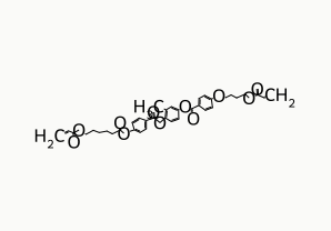 C=CC(=O)OCCCCCC(=O)Oc1ccc(C(=O)Oc2ccc(OC(=O)c3ccc(OCCCCOC(=O)C=C)cc3)cc2C)cc1